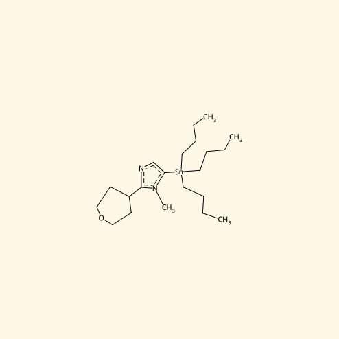 CCC[CH2][Sn]([CH2]CCC)([CH2]CCC)[c]1cnc(C2CCOCC2)n1C